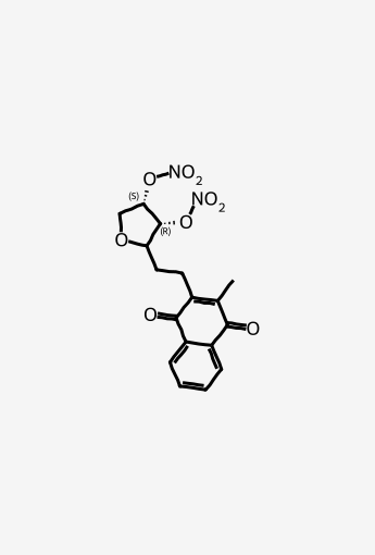 CC1=C(CCC2OC[C@H](O[N+](=O)[O-])[C@@H]2O[N+](=O)[O-])C(=O)c2ccccc2C1=O